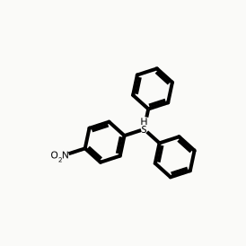 O=[N+]([O-])c1ccc([SH](c2ccccc2)c2ccccc2)cc1